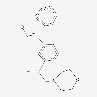 CC(CN1CCOCC1)c1cccc(C(=NO)c2ccccc2)c1